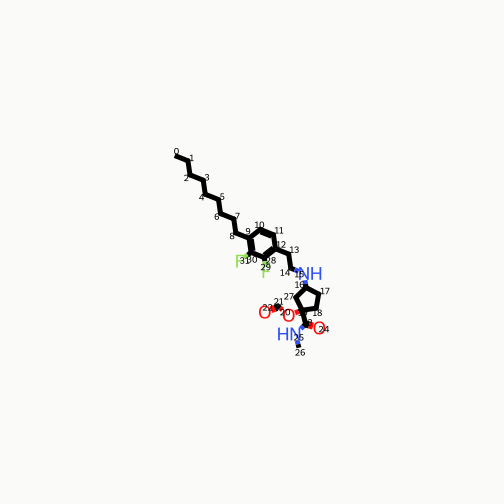 CCCCCCCCCc1ccc(CCNC2CCC(OC=O)(C(=O)NC)C2)c(F)c1F